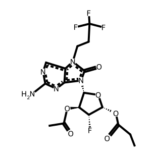 CCC(=O)O[C@H]1O[C@@H](n2c(=O)n(CCC(F)(F)F)c3cnc(N)nc32)[C@H](OC(C)=O)[C@H]1F